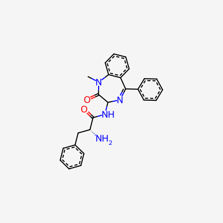 CN1C(=O)C(NC(=O)[C@H](N)Cc2ccccc2)N=C(c2ccccc2)c2ccccc21